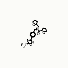 O=C(C1CCCO1)N(Cc1ccc(-c2noc(C(F)(F)F)n2)cc1)CC1CCCO1